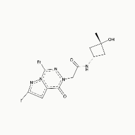 CCc1nn(CC(=O)N[C@H]2C[C@@](C)(O)C2)c(=O)c2cc(I)nn12